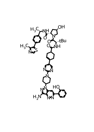 Cc1ncsc1-c1ccc([C@H](C)NC(=O)[C@@H]2C[C@@H](O)CN2C(=O)[C@@H](NC(=O)C2CC=C(c3cnc(N4CCC(n5nc(N)c6nnc(-c7ccccc7O)cc65)CC4)nc3)CC2)C(C)(C)C)cc1